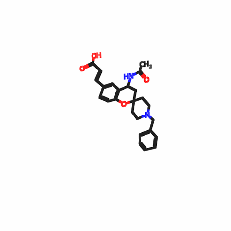 CC(=O)NC1CC2(CCN(Cc3ccccc3)CC2)Oc2ccc(C=CC(=O)O)cc21